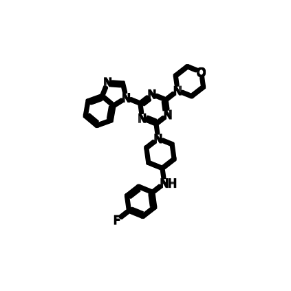 Fc1ccc(NC2CCN(c3nc(N4CCOCC4)nc(-n4cnc5ccccc54)n3)CC2)cc1